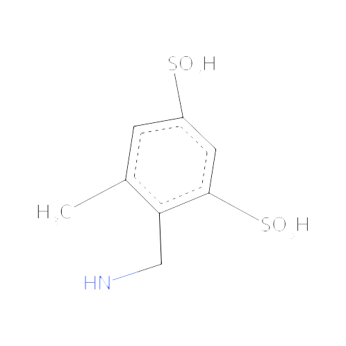 Cc1cc(S(=O)(=O)O)cc(S(=O)(=O)O)c1C[NH]